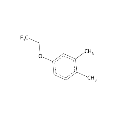 Cc1ccc(OCC(F)(F)F)cc1C